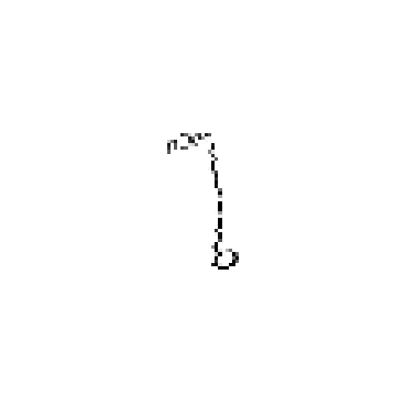 [CH2]CCCCCCCCCCCCCCCCCCCCCCCC1CCCCC1